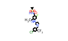 Cc1nn(C2CCN(Cc3ccc(Cl)cc3C(F)(F)F)C2)c2cc(F)c(C(=O)NS(=O)(=O)C3CC3)cc12